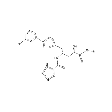 CC(C)OC(=O)[C@H](O)CN(Cc1ccc(-c2cccc(Cl)c2)cc1)NC(=O)c1nnn[nH]1